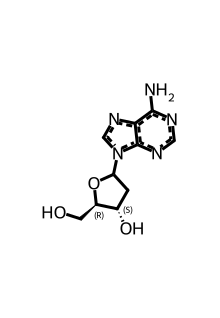 Nc1ncnc2c1ncn2C1C[C@H](O)[C@@H](CO)O1